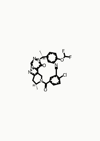 C[C@@H]1Cc2nn3cnn([C@H](C)c4ccc(OC(F)F)cc4)c(=O)c3c2CN1C(=O)c1ccc(Cl)c(C#N)c1